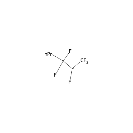 CCCC(F)(F)[C](F)C(F)(F)F